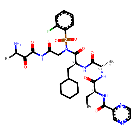 CCC(N)C(=O)C(=O)NC(=O)CN(C(=O)[C@H](CC1CCCCC1)NC(=O)[C@@H](NC(=O)[C@H](CC(C)C)NC(=O)c1cnccn1)[C@@H](C)CC)S(=O)(=O)c1ccccc1F